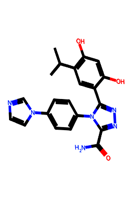 CC(C)c1cc(-c2nnc(C(N)=O)n2-c2ccc(-n3ccnc3)cc2)c(O)cc1O